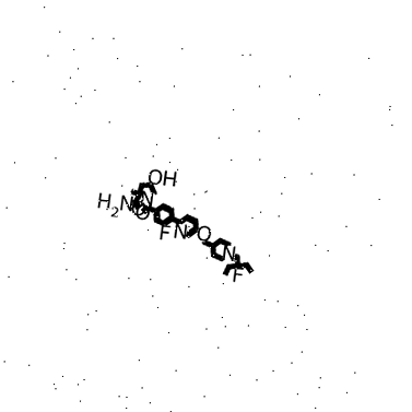 CCC(F)(CC)CN1CCC(COc2ccc(-c3ccc(C(=O)N4CC(O)CC4(C)C(N)=O)cc3F)nc2)CC1